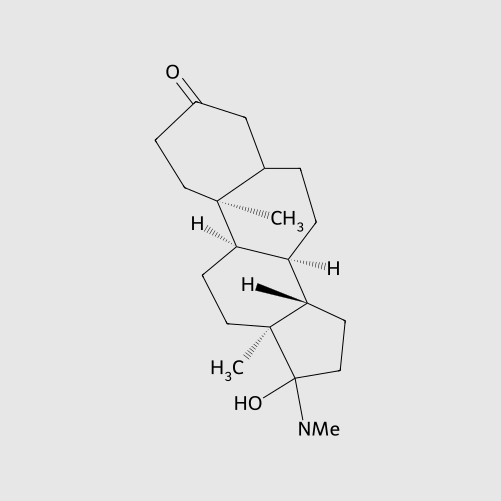 CNC1(O)CC[C@H]2[C@@H]3CCC4CC(=O)CC[C@]4(C)[C@@H]3CC[C@@]21C